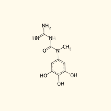 CN(C(=O)NC(=N)N)c1cc(O)c(O)c(O)c1